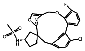 CS(=O)(=O)N[C@H]1CC[C@@]2(Cc3ccc(Cl)c(c3)-c3cccc(F)c3OCc3coc2n3)C1